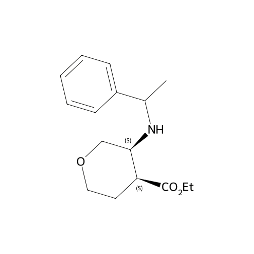 CCOC(=O)[C@H]1CCOC[C@H]1NC(C)c1ccccc1